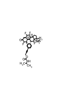 CC[C@]1(O)CC[C@H]2[C@H]3C(=C4C(=CC(=O)C(F)C4F)C(F)C3F)[C@@H](c3ccc(C#CCOC(=O)NC(C)C)cc3)C(F)[C@@]21C